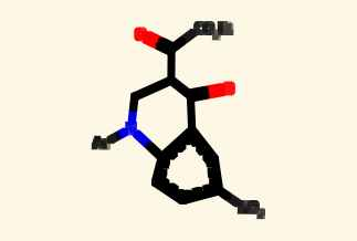 CCOC(=O)C(=O)C1CN(C(C)=O)c2ccc([N+](=O)[O-])cc2C1=O